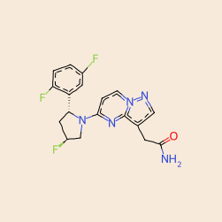 NC(=O)Cc1cnn2ccc(N3C[C@@H](F)C[C@@H]3c3cc(F)ccc3F)nc12